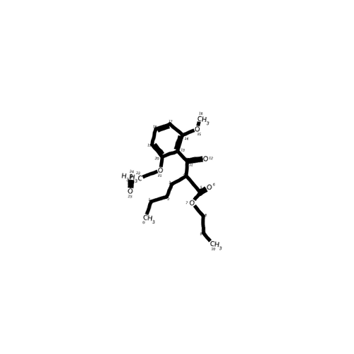 CCCCC(C(=O)OCCC)C(=O)c1c(OC)cccc1OC.O=[PH3]